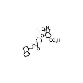 Cn1ncc2cc(C(=O)O)cc(OC3CCC(C(=O)OCc4cccc5ccccc45)CC3)c21